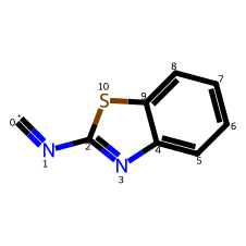 [CH]=Nc1nc2ccccc2s1